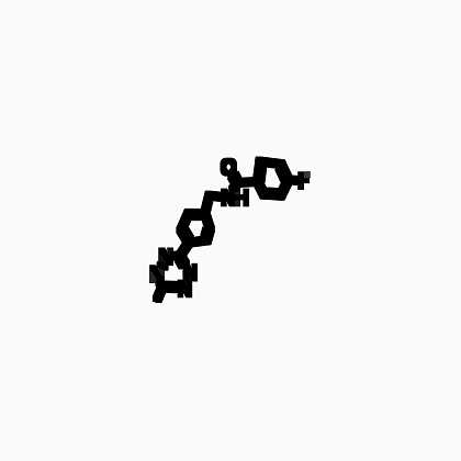 Cc1nnc(-c2ccc(CNC(=O)c3ccc(F)cc3)cc2)nn1